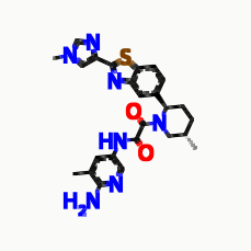 Cc1cc(NC(=O)C(=O)N2C[C@@H](C)CC[C@@H]2c2ccc3sc(-c4cn(C)cn4)nc3c2)cnc1N